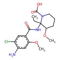 CCC1(NC(=O)c2cc(Cl)c(N)cc2OC)C(OC)CCCN1C(=O)O